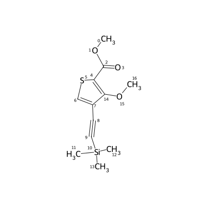 COC(=O)c1scc(C#C[Si](C)(C)C)c1OC